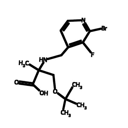 CC(C)(C)OCC(C)(NCc1ccnc(Br)c1F)C(=O)O